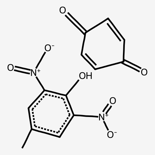 Cc1cc([N+](=O)[O-])c(O)c([N+](=O)[O-])c1.O=C1C=CC(=O)C=C1